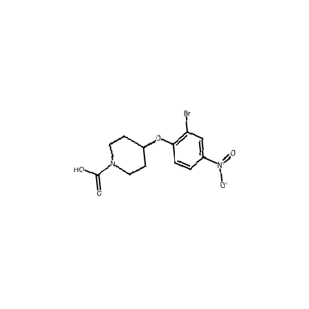 O=C(O)N1CCC(Oc2ccc([N+](=O)[O-])cc2Br)CC1